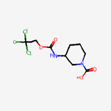 O=C(NC1CCCN(C(=O)O)C1)OCC(Cl)(Cl)Cl